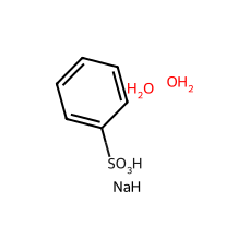 O.O.O=S(=O)(O)c1ccccc1.[NaH]